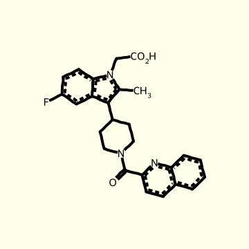 Cc1c(C2CCN(C(=O)c3ccc4ccccc4n3)CC2)c2cc(F)ccc2n1CC(=O)O